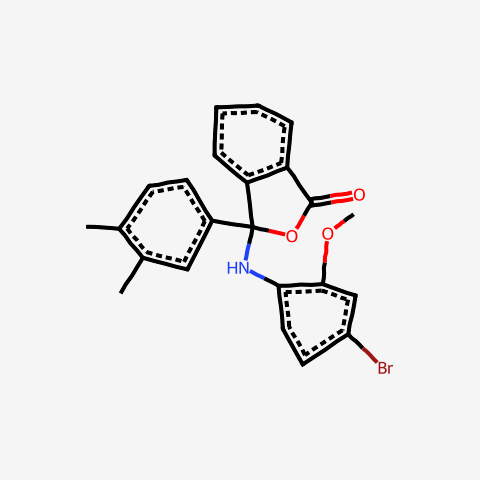 COc1cc(Br)ccc1NC1(c2ccc(C)c(C)c2)OC(=O)c2ccccc21